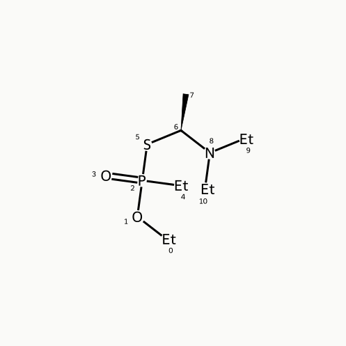 CCOP(=O)(CC)S[C@@H](C)N(CC)CC